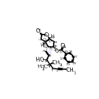 CC#CCC(C)(C)[C@@H](O)/C=C/[C@@H]1[C@H]2CC(=O)O[C@H]2C[C@H]1OC(=O)c1ccccc1